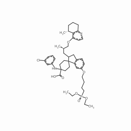 CCOP(=O)(CCCCOc1ccc2c(c1)C1(CCC(Nc3cccc(Cl)c3)(C(=O)O)CC1)C(C[C@@H](C)COc1ccnc3c1[C@H](C)CCC3)C2)OCC